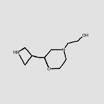 OCCN1CCOC(C2CNC2)C1